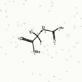 CCC(C)(NC(=O)C(C)(C)C)C(=O)NC